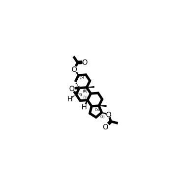 CC(=O)O[C@H]1CC[C@]2(C)C3CC[C@@]4(C)C(CC[C@@H]4OC(C)=O)[C@@H]3C[C@H]3O[C@]32C1